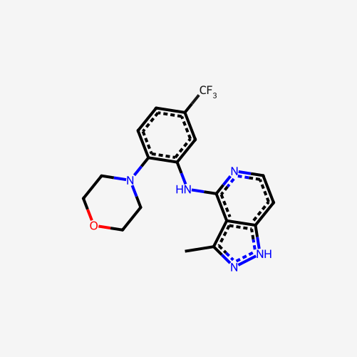 Cc1n[nH]c2ccnc(Nc3cc(C(F)(F)F)ccc3N3CCOCC3)c12